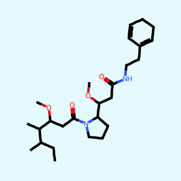 CCC(C)C(C)C(CC(=O)N1CCCC1C(CC(=O)NCCC1=CCCC=C1)OC)OC